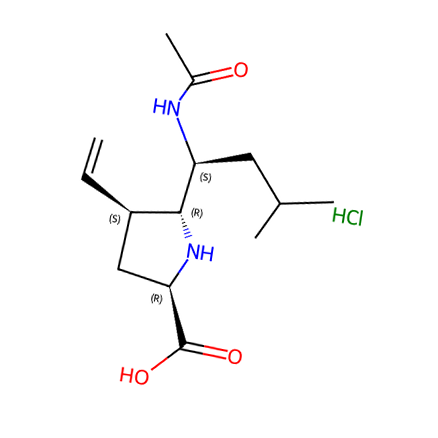 C=C[C@@H]1C[C@H](C(=O)O)N[C@H]1[C@H](CC(C)C)NC(C)=O.Cl